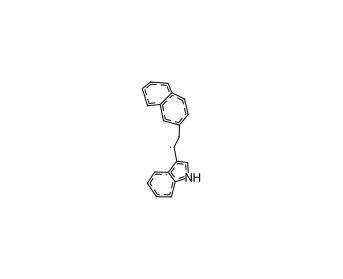 [CH](Cc1ccc2ccccc2c1)c1c[nH]c2ccccc12